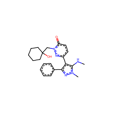 CNc1c(-c2ccc(=O)n(CC3(O)CCCCC3)n2)c(-c2ccccc2)nn1C